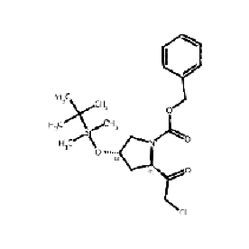 CC(C)(C)[Si](C)(C)O[C@H]1C[C@H](C(=O)CCl)N(C(=O)OCc2ccccc2)C1